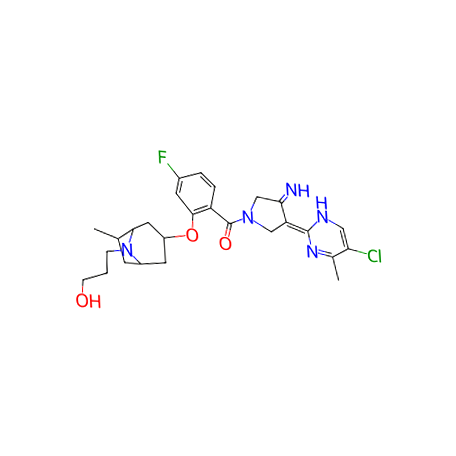 CC1=N/C(=C2\CN(C(=O)c3ccc(F)cc3OC3CC4CC(C)C(C3)N4CCCO)CC2=N)NC=C1Cl